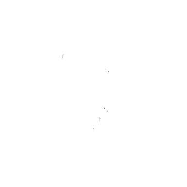 CCN(CC)C(=O)C1(c2cc(F)ccc2F)CC(N=[N+]=[N-])C1